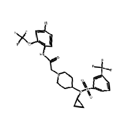 O=C(CN1CCC(N(C2CC2)S(=O)(=O)c2cccc(C(F)(F)F)c2)CC1)Nc1ccc(Cl)cc1OC(F)(F)F